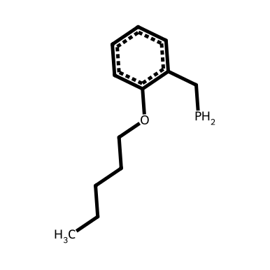 CCCCCOc1ccccc1CP